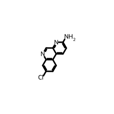 Nc1ccc2c(cnc3cc(Cl)ccc32)n1